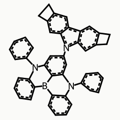 c1ccc(N2c3ccccc3B3c4ccccc4N(c4ccccc4)c4cc(-n5c6cc7c(cc6c6cc8c(cc65)CC8)CC7)cc2c43)cc1